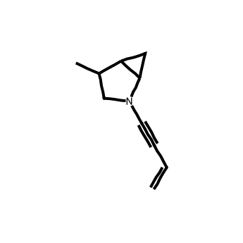 C=CC#CN1CC(C)C2CC21